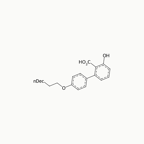 CCCCCCCCCCCCOc1ccc(-c2cccc(O)c2C(=O)O)cc1